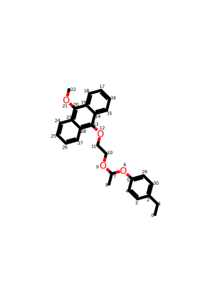 CCc1ccc(OC(C)OCCOc2c3ccccc3c(OC)c3ccccc23)cc1